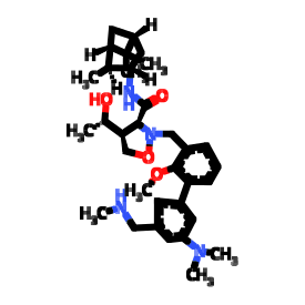 CNCc1cc(-c2cccc(CN3OC[C@@H]([C@H](C)O)[C@H]3C(=O)N[C@H]3C[C@H]4C[C@@H]([C@@H]3C)C4(C)C)c2OC)cc(N(C)C)c1